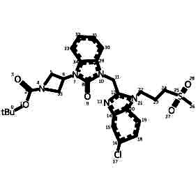 CC(C)(C)OC(=O)N1CC(n2c(=O)n(Cc3nc4cc(Cl)ccc4n3CCCS(C)(=O)=O)c3ccccc32)C1